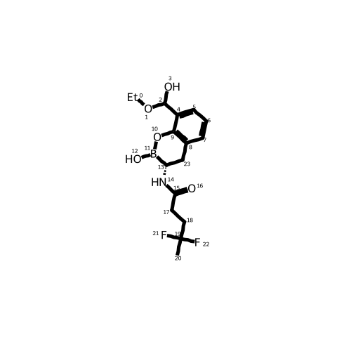 CCOC(O)c1cccc2c1OB(O)[C@@H](NC(=O)CCC(C)(F)F)C2